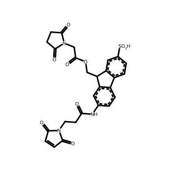 O=C(CCN1C(=O)C=CC1=O)Nc1ccc2c(c1)C(COC(=O)CN1C(=O)CCC1=O)c1cc(S(=O)(=O)O)ccc1-2